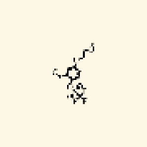 COCCOc1ccc(OS(=O)(=O)C(F)(F)F)c(C=O)c1